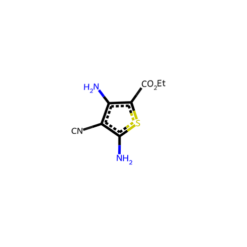 [C-]#[N+]c1c(N)sc(C(=O)OCC)c1N